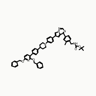 Cc1cc(-c2ncnn3cc(-c4ccc(N5CCC(c6ccc(-c7ccc(OCc8ccccc8)nc7OCc7ccccc7)cc6)CC5)cc4)cc23)ccc1CNC(=O)OC(C)(C)C